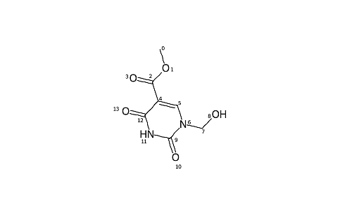 COC(=O)c1cn(CO)c(=O)[nH]c1=O